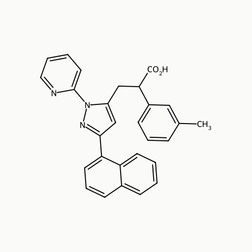 Cc1cccc(C(Cc2cc(-c3cccc4ccccc34)nn2-c2ccccn2)C(=O)O)c1